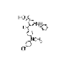 CN(c1ccc(Cl)cc1)c1ccc(C(=O)c2cc(NCc3ccccc3)cc(C(=O)O)c2)cc1